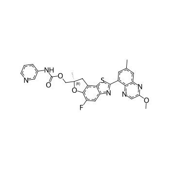 COc1cnc2c(-c3nc4cc(F)c5c(c4s3)C[C@](C)(COC(=O)Nc3cccnc3)O5)cc(C)cc2n1